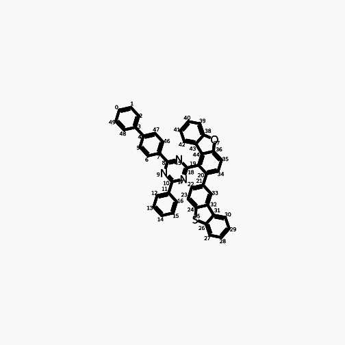 c1ccc(-c2ccc(-c3nc(-c4ccccc4)nc(-c4c(-c5ccc6sc7ccccc7c6c5)ccc5oc6ccccc6c45)n3)cc2)cc1